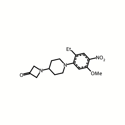 CCc1cc([N+](=O)[O-])c(OC)cc1N1CCC(N2CC(=O)C2)CC1